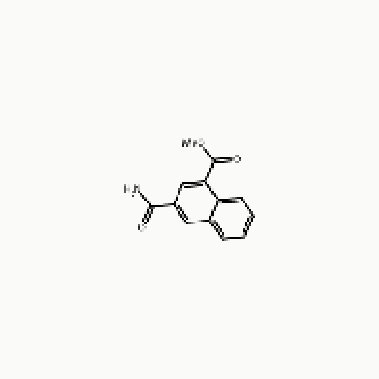 COC(=O)c1cc(C(N)=O)cc2ccccc12